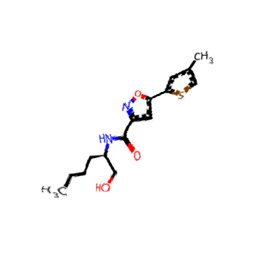 CCCC[C@H](CO)NC(=O)c1cc(-c2cc(C)cs2)on1